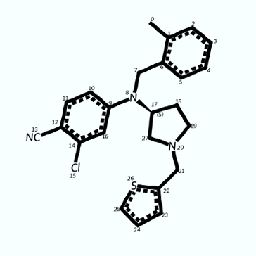 Cc1ccccc1CN(c1ccc(C#N)c(Cl)c1)[C@H]1CCN(Cc2cccs2)C1